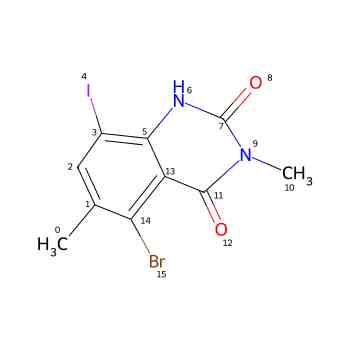 Cc1cc(I)c2[nH]c(=O)n(C)c(=O)c2c1Br